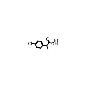 CCNC(=O)C(C)c1ccc(Cl)cc1